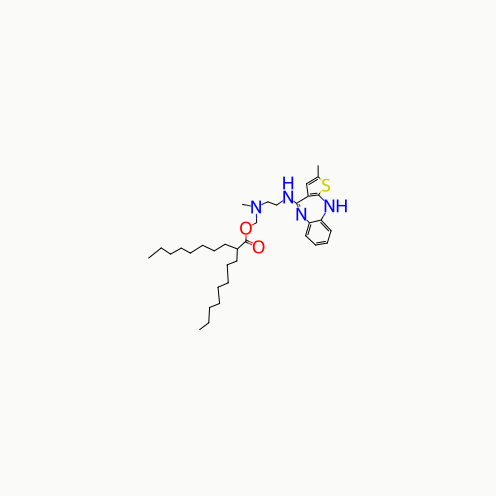 CCCCCCCCC(CCCCCCCC)C(=O)OCN(C)CCNC1=Nc2ccccc2Nc2sc(C)cc21